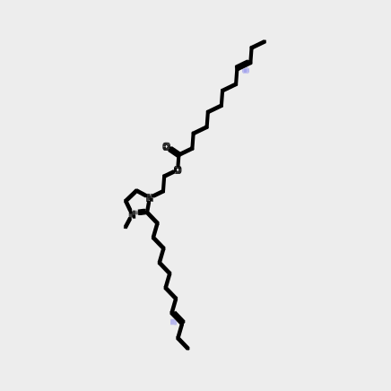 CC/C=C/CCCCCCCC(=O)OCCN1CC[N+](C)=C1CCCCCCC/C=C/CC